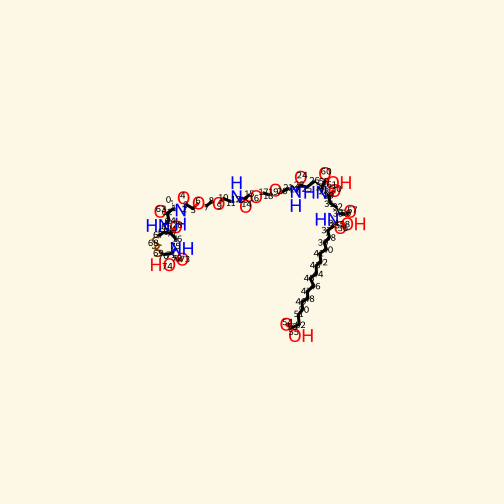 C[C@H](NC(=O)COCCOCCNC(=O)COCCOCCNC(=O)CC[C@H](NC(=O)CC[C@H](NC(=O)CCCCCCCCCCCCCCCCC(=O)O)C(=O)O)C(=O)O)C(=O)CN[C@H]1CSSC[C@@H](C(=O)O)NCC1=O